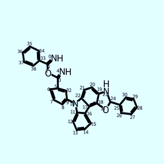 N=C(OC(=N)c1cccc(-n2c3ccccc3c3c4c(ccc32)NC(c2ccccc2)O4)c1)c1ccccc1